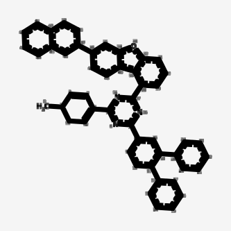 CC1C=CC(c2nc(-c3ccc(-c4ccccc4)c(-c4ccccc4)c3)nc(-c3cccc4oc5cc(-c6ccc7ccccc7c6)ccc5c34)n2)=CC1